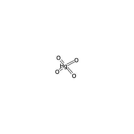 [O]=[Hg](=[O])(=[O])=[O]